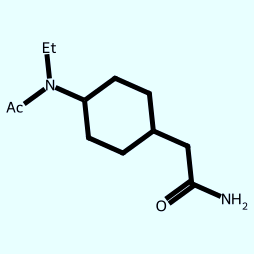 CCN(C(C)=O)C1CCC(CC(N)=O)CC1